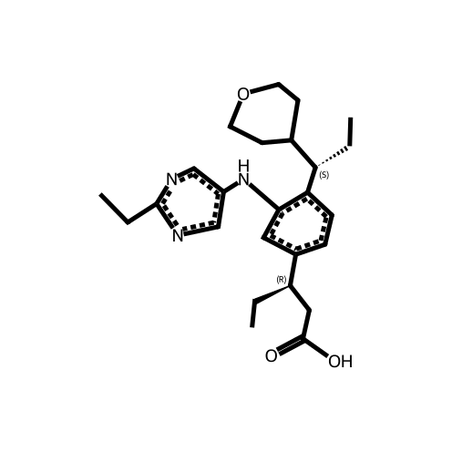 CCc1ncc(Nc2cc([C@H](CC)CC(=O)O)ccc2[C@@H](CC)C2CCOCC2)cn1